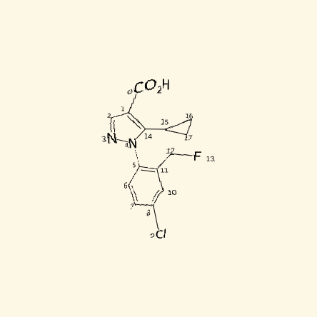 O=C(O)c1cnn(-c2ccc(Cl)cc2CF)c1C1CC1